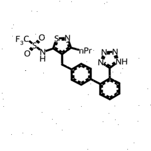 CCCc1nsc(NS(=O)(=O)C(F)(F)F)c1Cc1ccc(-c2ccccc2-c2nnn[nH]2)cc1